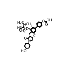 CNC(=O)N(C)C.O=C(O)Oc1ccc(-c2cc(Cl)c(C[C@@H]3CCN([C@H]4CC[C@H](O)CC4)C3=O)c(Cl)c2)cc1